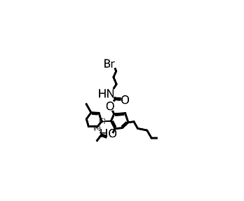 C=C(C)[C@@H]1CCC(C)=C[C@H]1c1c(O)cc(CCCCC)cc1OC(=O)NCCCBr